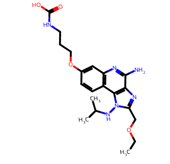 CCOCc1nc2c(N)nc3cc(OCCCNC(=O)O)ccc3c2n1NC(C)C